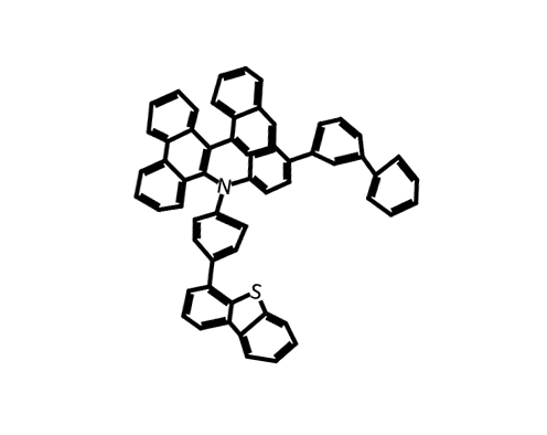 c1ccc(-c2cccc(-c3ccc(N(c4ccc(-c5cccc6c5sc5ccccc56)cc4)c4c(-c5cccc6ccccc56)c5ccccc5c5ccccc45)cc3)c2)cc1